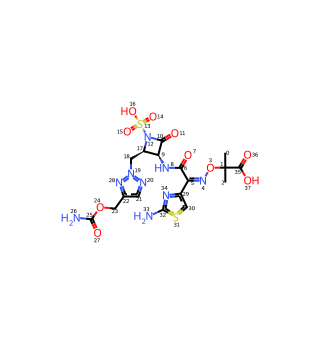 CC(C)(O/N=C(\C(=O)N[C@@H]1C(=O)N(S(=O)(=O)O)[C@@H]1Cn1ncc(COC(N)=O)n1)c1csc(N)n1)C(=O)O